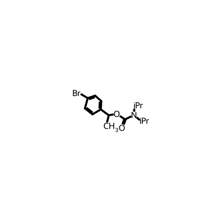 CC(OC(=O)N(C(C)C)C(C)C)c1ccc(Br)cc1